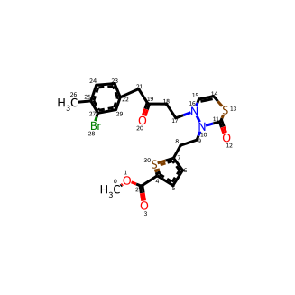 COC(=O)c1ccc(CCN2C(=O)SC=CN2CCC(=O)Cc2ccc(C)c(Br)c2)s1